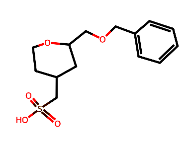 O=S(=O)(O)CC1CCOC(COCc2ccccc2)C1